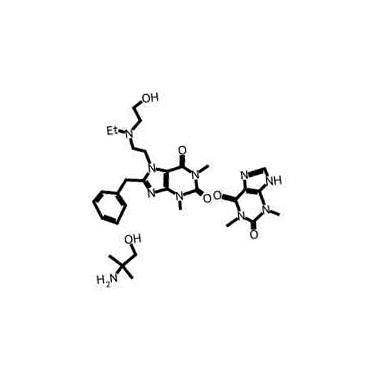 CC(C)(N)CO.CCN(CCO)CCn1c(Cc2ccccc2)nc2c1c(=O)n(C)c(=O)n2C.Cn1c(=O)c2nc[nH]c2n(C)c1=O